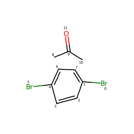 Brc1ccc(Br)cc1.CC(C)=O